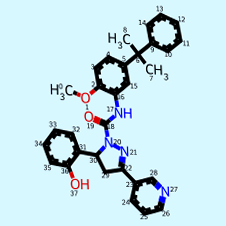 COc1ccc(C(C)(C)c2ccccc2)cc1NC(=O)N1N=C(c2cccnc2)CC1c1ccccc1O